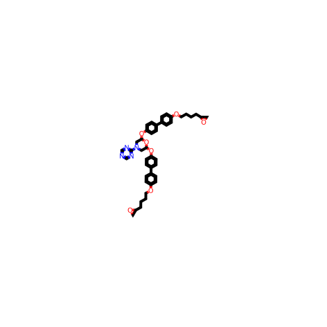 c1ncnc(N2CC(Oc3ccc(-c4ccc(OCCCCC5CO5)cc4)cc3)OC(Oc3ccc(-c4ccc(OCCCCC5CO5)cc4)cc3)C2)n1